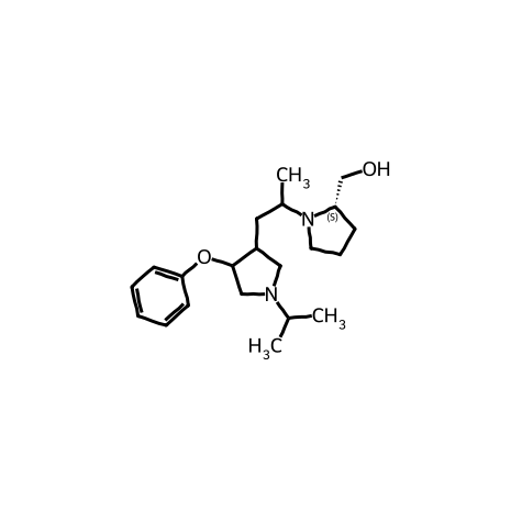 CC(C)N1CC(CC(C)N2CCC[C@H]2CO)C(Oc2ccccc2)C1